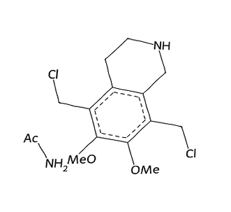 CC(N)=O.COc1c(CCl)c2c(c(CCl)c1OC)CNCC2